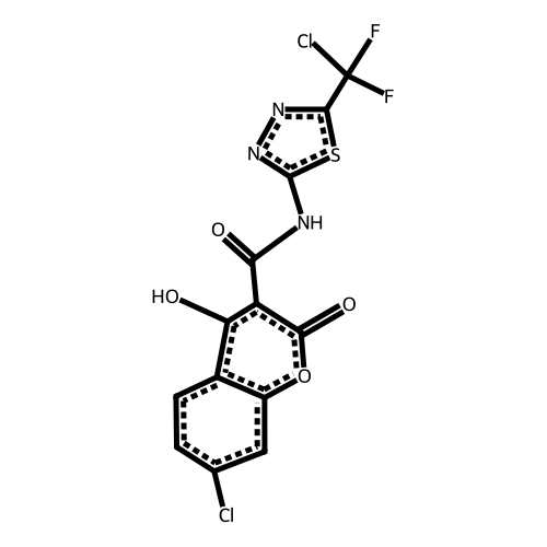 O=C(Nc1nnc(C(F)(F)Cl)s1)c1c(O)c2ccc(Cl)cc2oc1=O